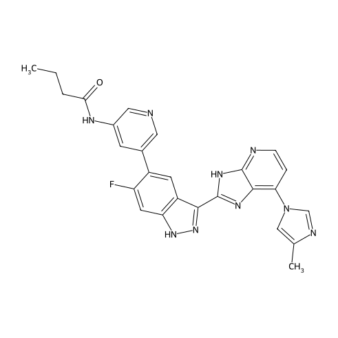 CCCC(=O)Nc1cncc(-c2cc3c(-c4nc5c(-n6cnc(C)c6)ccnc5[nH]4)n[nH]c3cc2F)c1